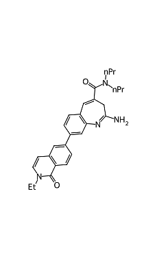 CCCN(CCC)C(=O)C1=Cc2ccc(-c3ccc4c(=O)n(CC)ccc4c3)cc2N=C(N)C1